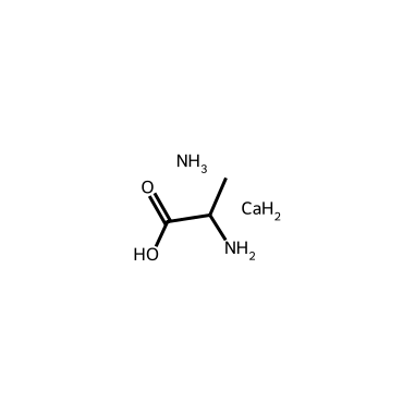 CC(N)C(=O)O.N.[CaH2]